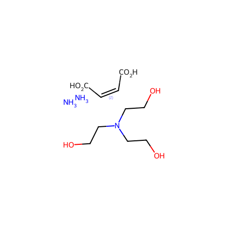 N.N.O=C(O)/C=C\C(=O)O.OCCN(CCO)CCO